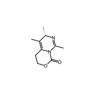 CC1=N[C@@H](C)C(C)=C2CCOC(=O)N12